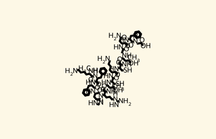 CNC(CCCCN)C(=O)NC(Cc1ccccc1)C(=O)NC(Cc1ccccc1)C(=O)NC(Cc1cnc[nH]1)C(=O)NC(CCCNC(=N)N)C(=O)NC(C(=O)NC(CS)C(=O)NC(CCCCN)C(=O)NC(CS)C(=O)NC(C(=O)NCC(=O)NC(CC(N)=O)C(=O)NC(Cc1ccccc1)C(=O)NCC(=O)O)C(C)O)C(C)O